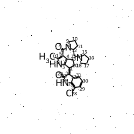 Cc1[nH]c2c(c1C(=O)N1CCC[C@H]1CN1CCCC1)CC/C2=C1/C(=O)Nc2c(Cl)cccc21